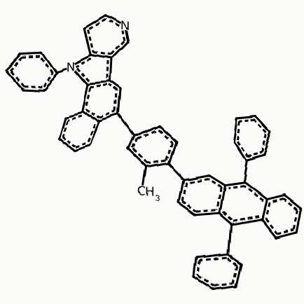 Cc1cc(-c2cc3c4cnccc4n(-c4ccccc4)c3c3ccccc23)ccc1-c1ccc2c(-c3ccccc3)c3ccccc3c(-c3ccccc3)c2c1